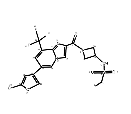 CCS(=O)(=O)NC1CN(C(=O)c2cn3cc(-c4coc(Br)c4)cc(C(F)(F)F)c3n2)C1